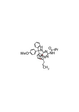 C=CCc1cnc2c(NC(c3ccccc3)(c3ccccc3)c3ccc(OC)cc3)nc(NC(=O)C(C)C)nn12